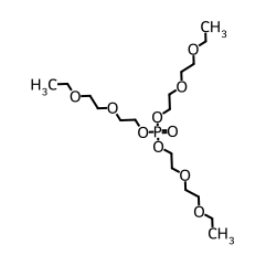 CCOCCOCCOP(=O)(OCCOCCOCC)OCCOCCOCC